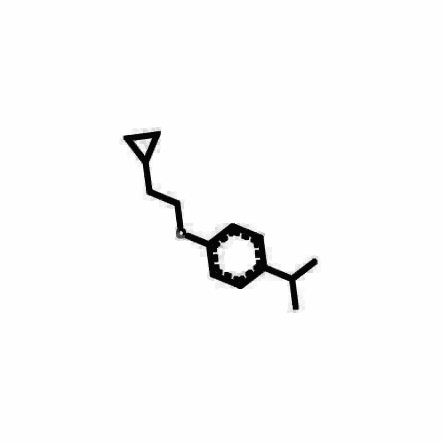 CC(C)c1ccc(OCCC2CC2)cc1